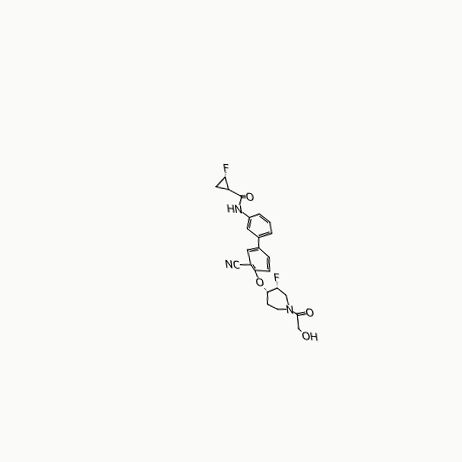 N#Cc1cc(-c2cccc(NC(=O)C3C[C@@H]3F)c2)ccc1O[C@H]1CCN(C(=O)CO)C[C@H]1F